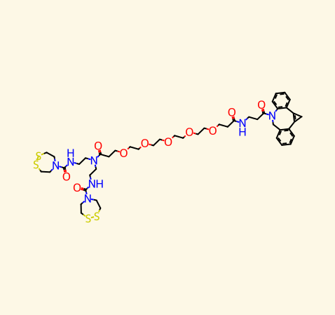 O=C(CCOCCOCCOCCOCCOCCC(=O)N(CCNC(=O)N1CCSSCC1)CCNC(=O)N1CCSSCC1)NCCC(=O)N1Cc2ccccc2C2=C(C2)c2ccccc21